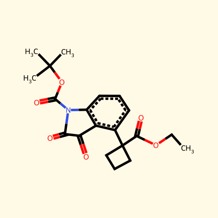 CCOC(=O)C1(c2cccc3c2C(=O)C(=O)N3C(=O)OC(C)(C)C)CCC1